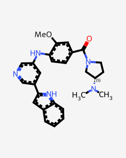 COc1cc(C(=O)N2CC[C@H](N(C)C)C2)ccc1Nc1cncc(-c2cc3ccccc3[nH]2)c1